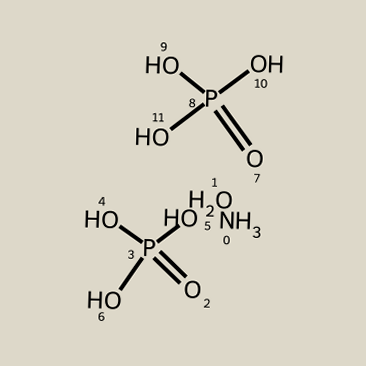 N.O.O=P(O)(O)O.O=P(O)(O)O